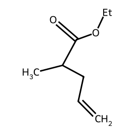 C=CCC(C)C(=O)OCC